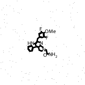 COc1c(F)cc(Cc2nc3c(c4c2[nH]c2ccccc24)CCN(CC(N)=O)C3)cc1F